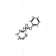 c1ccc(ON[PH]2=NP=NP=N2)cc1